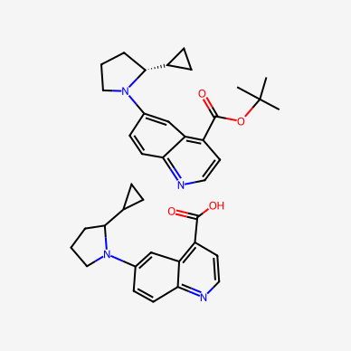 CC(C)(C)OC(=O)c1ccnc2ccc(N3CCC[C@@H]3C3CC3)cc12.O=C(O)c1ccnc2ccc(N3CCCC3C3CC3)cc12